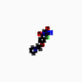 O=C1CN(C(=O)c2ccc(OC3CC(N4CCCCC4)C3)cc2Cl)CN1